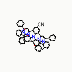 Cc1ccccc1-c1ccc2c3ccc(-c4ccccc4C)cc3n(-c3c(-c4cc(-c5ccccc5)nc(-c5ccccc5)n4)cc(C#N)cc3-c3cc(-c4ccccc4)nc(-c4ccccc4)n3)c2c1